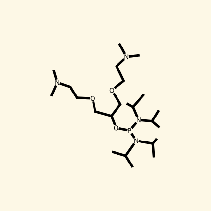 CC(C)N(C(C)C)P(OC(COCCN(C)C)COCCN(C)C)N(C(C)C)C(C)C